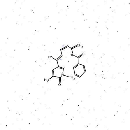 C=C(/C=C\C=C(/CC)c1cc(C)c(=O)n(C)c1)NC(=O)c1ccccc1